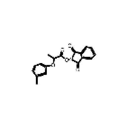 Cc1cccc(OC(C)C(=O)ON2C(=O)c3ccccc3C2=O)c1